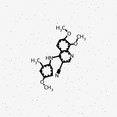 COc1ccc(Nc2c(C#N)cnc3c(OC)c(OC)ccc23)c(C)c1